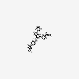 Cn1cc(C(F)(F)F)nc1-c1ccc(CNc2nc(-c3cccc(C(N)=O)c3)nc3c2ncn3C2CCCCO2)cc1